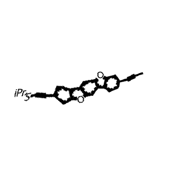 CC#Cc1ccc2c(c1)oc1cc3c(cc12)oc1cc(C#CSC(C)C)ccc13